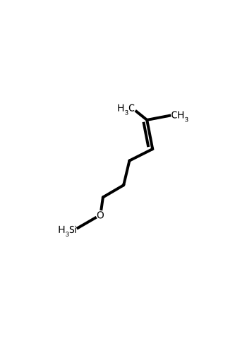 CC(C)=CCCCO[SiH3]